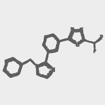 FC(F)c1nnc(-c2cccc(-c3nccn3Cc3ccccc3)c2)o1